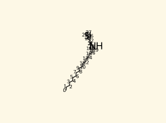 CCCCCCCCCCCCCCCCCC(C)(C)NCCC[Si](C)(C)C